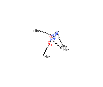 CCCC/C=C/CCCCCCCC(=O)NC(CN1CC[N+](C)=C1CCCCCCC/C=C/CCCC)C1CN(CCOC(=O)CCCCCCC/C=C/CCCCCC)C(CCCCCCC/C=C/CCCCCC)=[N+]1C